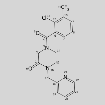 O=C1CN(C(=O)c2cccc(C(F)(F)F)c2Cl)CCN1Cc1ccccn1